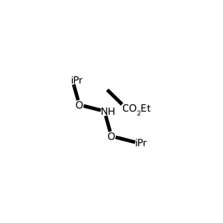 CC(C)ONOC(C)C.CCOC(C)=O